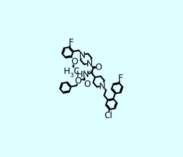 CCOc1cccc(F)c1CN1CCN(C(=O)[C@H](NC(=O)OCc2ccccc2)C2CCN(CCc3cc(Cl)ccc3-c3ccc(F)cc3)CC2)CC1